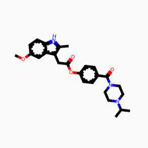 COc1ccc2[nH]c(C)c(CC(=O)Oc3ccc(C(=O)N4CCN(C(C)C)CC4)cc3)c2c1